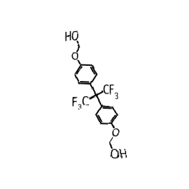 OCOc1ccc(C(c2ccc(OCO)cc2)(C(F)(F)F)C(F)(F)F)cc1